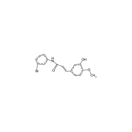 COc1ccc(C=CC(=O)Nc2cccc(Br)c2)cc1O